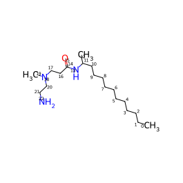 CCCCCCCCCCCC(C)NC(=O)CCN(C)CCN